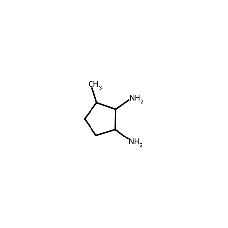 CC1CCC(N)C1N